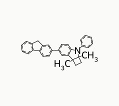 CC12CCC1(C)N(c1ccccc1)c1ccc(-c3ccc4c(c3)Cc3ccccc3-4)cc12